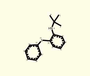 CC(C)(C)Nc1ccccc1Sc1ccccc1